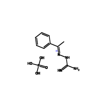 C/C(=N\NC(=N)N)c1ccccc1.O=P(O)(O)O